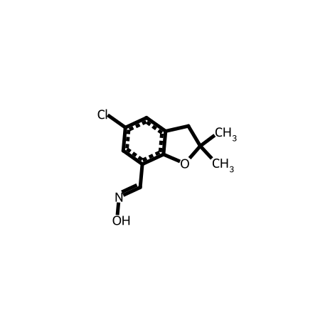 CC1(C)Cc2cc(Cl)cc(C=NO)c2O1